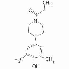 CCC(=O)N1CCC(c2cc(C)c(O)c(C)c2)CC1